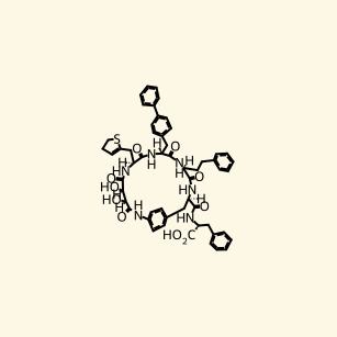 O=C(O)[C@H](Cc1ccccc1)NC(=O)[C@H]1Cc2ccc(cc2)NC(=O)[C@H](O)[C@@H](O)C(=O)N[C@@H](CC2=CCCS2)C(=O)N[C@H](Cc2ccc(-c3ccccc3)cc2)C(=O)N[C@@H](CCc2ccccc2)C(=O)N1